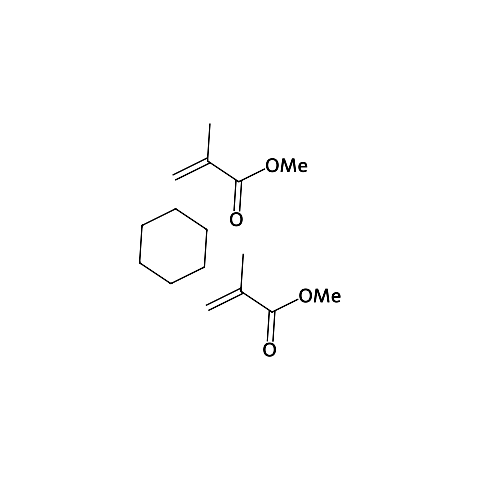 C1CCCCC1.C=C(C)C(=O)OC.C=C(C)C(=O)OC